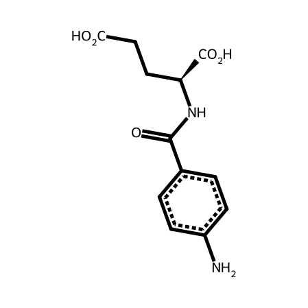 Nc1ccc(C(=O)N[C@@H](CCC(=O)O)C(=O)O)cc1